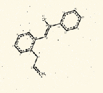 C=CCc1ccccc1C=[N+]([O-])c1ccccc1